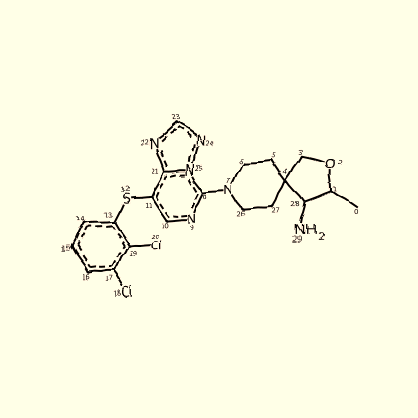 CC1OCC2(CCN(c3ncc(Sc4cccc(Cl)c4Cl)c4ncnn34)CC2)C1N